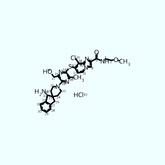 COCCNC(=O)c1cn2ccc(Sc3nc(CO)c(N4CCC5(CC4)Cc4ccccc4[C@H]5N)nc3C)c(Cl)c2n1.Cl